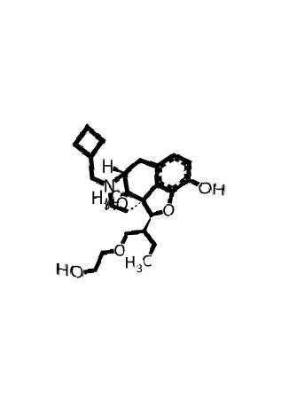 CCC(COCCO)[C@@H]1Oc2c(O)ccc3c2[C@@]12CCN(CC1CCC1)[C@H](C3)[C@@]2(C)O